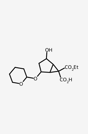 CCOC(=O)C1(C(=O)O)C2C(O)CC(OC3CCCCO3)C21